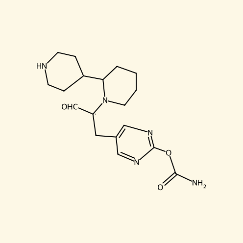 NC(=O)Oc1ncc(C[C](C=O)N2CCCCC2C2CCNCC2)cn1